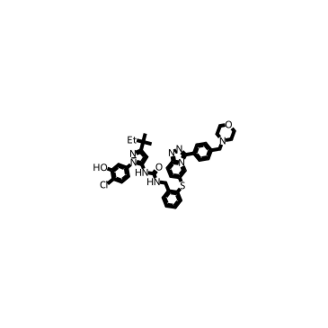 CCC(C)(C)c1cc(NC(=O)NCc2ccccc2Sc2ccc3nnc(-c4ccc(CN5CCOCC5)cc4)n3c2)n(-c2ccc(Cl)c(O)c2)n1